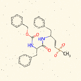 CS(=O)(=O)/C=C/C(Cc1ccccc1)NC(=O)C(Cc1ccccc1)NC(=O)OCc1ccccc1